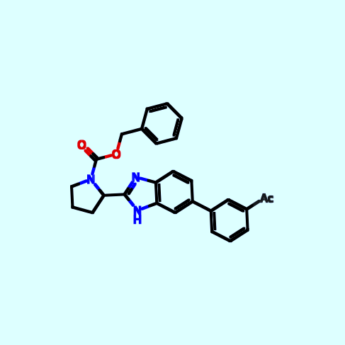 CC(=O)c1cccc(-c2ccc3nc(C4CCCN4C(=O)OCc4ccccc4)[nH]c3c2)c1